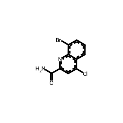 NC(=O)c1cc(Cl)c2cccc(Br)c2n1